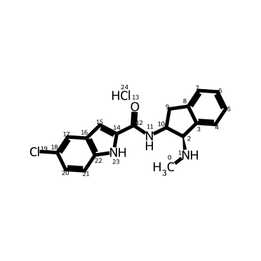 CN[C@@H]1c2ccccc2CC1NC(=O)c1cc2cc(Cl)ccc2[nH]1.Cl